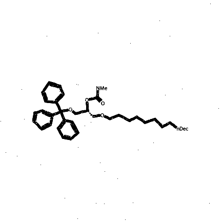 CCCCCCCCCCCCCCCCCCOC[C@H](COC(c1ccccc1)(c1ccccc1)c1ccccc1)OC(=O)NC